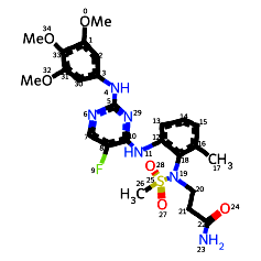 COc1cc(Nc2ncc(F)c(Nc3cccc(C)c3N(CCC(N)=O)S(C)(=O)=O)n2)cc(OC)c1OC